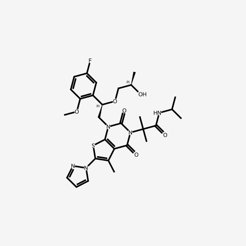 COc1ccc(F)cc1[C@H](Cn1c(=O)n(C(C)(C)C(=O)NC(C)C)c(=O)c2c(C)c(-n3cccn3)sc21)OC[C@@H](C)O